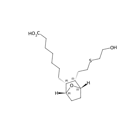 O=C(O)CCCCCC[C@@H]1[C@H](CCSCCO)[C@@H]2CC[C@H]1O2